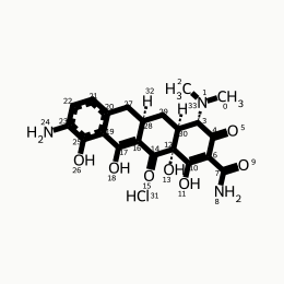 CN(C)[C@@H]1C(=O)C(C(N)=O)=C(O)[C@@]2(O)C(=O)C3=C(O)c4c(ccc(N)c4O)C[C@H]3C[C@@H]12.Cl